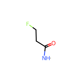 [NH]C(=O)CCF